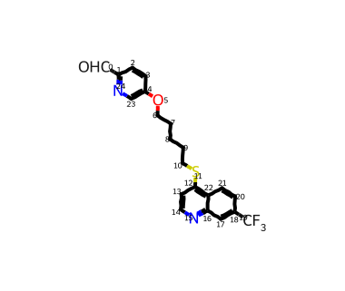 O=Cc1ccc(OCCCCCSc2ccnc3cc(C(F)(F)F)ccc23)cn1